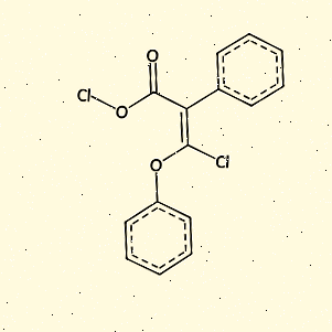 O=C(OCl)C(=C(Cl)Oc1ccccc1)c1ccccc1